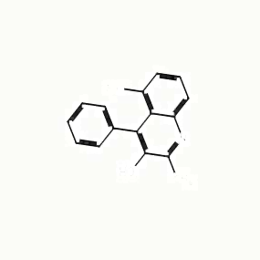 Cc1nc2cccc(C(F)(F)F)c2c(-c2ccccc2)c1O